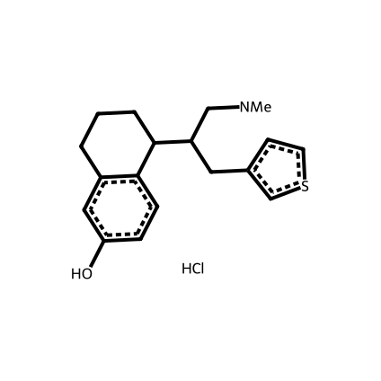 CNCC(Cc1ccsc1)C1CCCc2cc(O)ccc21.Cl